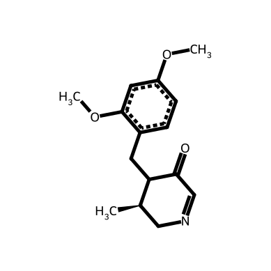 COc1ccc(CC2C(=O)C=NC[C@H]2C)c(OC)c1